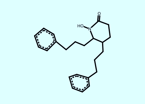 O=C1CCC(CCCc2ccccc2)C(CCCc2ccccc2)N1O